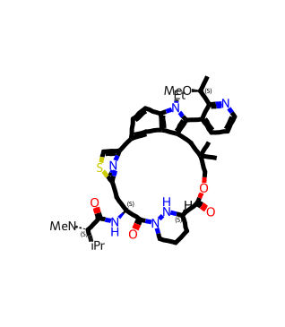 CCn1c(-c2cccnc2[C@H](C)OC)c2c3cc(ccc31)-c1csc(n1)C[C@H](NC(=O)[C@@H](NC)C(C)C)C(=O)N1CCC[C@H](N1)C(=O)OCC(C)(C)C2